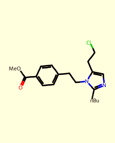 CCCCc1ncc(CCCl)n1CCc1ccc(C(=O)OC)cc1